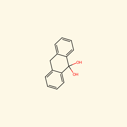 OC1(O)c2ccccc2Cc2ccccc21